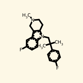 CN1CCc2c(c3cc(F)ccc3n2CC(C)(C)c2ccc(F)cc2)C1